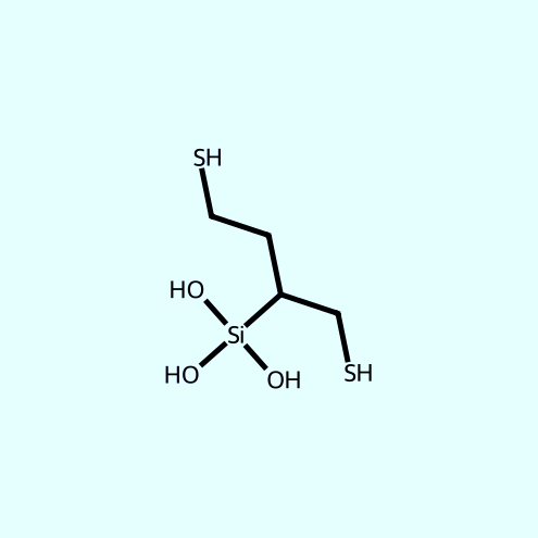 O[Si](O)(O)C(CS)CCS